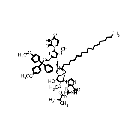 CCCCCCCCCCCCCCCCCC(=O)N(CC[C@H]1[C@@H](OC)[C@H](n2ccc(=O)[nH]c2=O)O[C@@H]1COC(c1ccccc1)(c1ccc(OC)cc1)c1ccc(OC)cc1)C[C@H]1O[C@@H](n2cnc3c(=O)[nH]c(NC(=O)C(C)C)nc32)[C@H](OC)[C@@H]1O